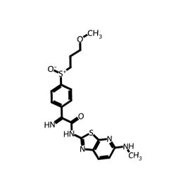 CNc1ccc2nc(NC(=O)C(=N)c3ccc([S+]([O-])CCCOC)cc3)sc2n1